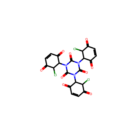 O=C1C=CC(=O)C(n2c(=O)n(C3C(=O)C=CC(=O)C3Cl)c(=O)n(C3C(=O)C=CC(=O)C3Cl)c2=O)C1Cl